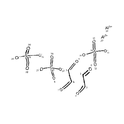 O=CC=O.O=CC=O.O=S(=O)([O-])[O-].O=S(=O)([O-])[O-].O=S(=O)([O-])[O-].[Al+3].[Al+3]